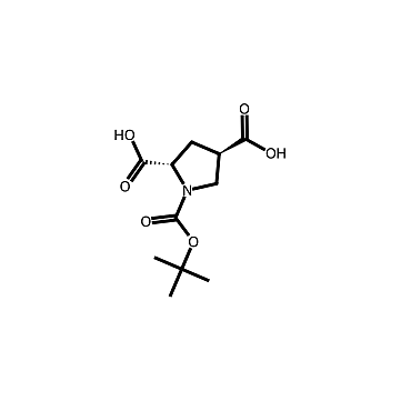 CC(C)(C)OC(=O)N1C[C@H](C(=O)O)C[C@H]1C(=O)O